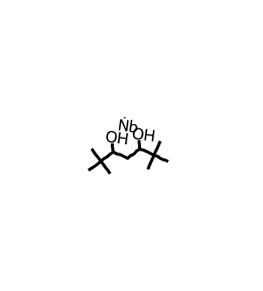 CC(C)(C)C(O)CC(O)C(C)(C)C.[Nb]